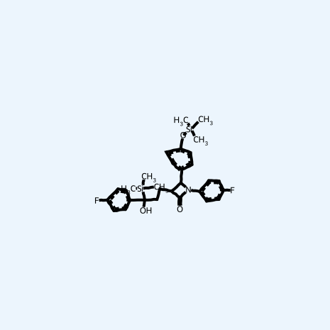 C[Si](C)(C)Oc1ccc(C2C(CCC(O)(c3ccc(F)cc3)[Si](C)(C)C)C(=O)N2c2ccc(F)cc2)cc1